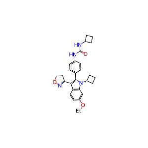 CCOc1ccc2c(C3=NOCC3)c(-c3ccc(NC(=O)NC4CCC4)cc3)n(C3CCC3)c2c1